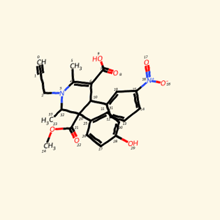 C#CCN1C(C)=C(C(=O)O)C(c2cccc([N+](=O)[O-])c2)C(C(=O)OC)(c2ccc(O)cc2)C1C